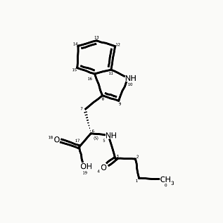 CCCC(=O)N[C@@H](Cc1c[nH]c2ccccc12)C(=O)O